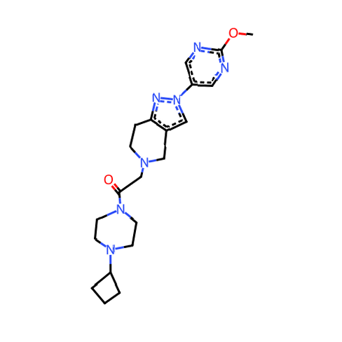 COc1ncc(-n2cc3c(n2)CCN(CC(=O)N2CCN(C4CCC4)CC2)C3)cn1